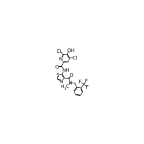 CN(Cc1ccccc1C(F)(F)F)C(=O)c1ncsc1NC(=O)c1cc(Cl)c(O)c(Cl)n1